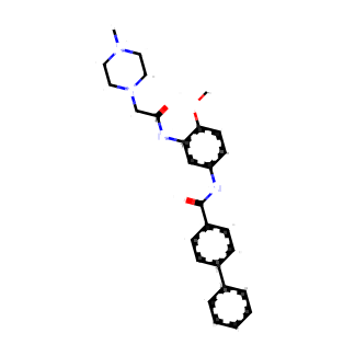 COc1ccc(NC(=O)c2ccc(-c3ccccc3)cc2)cc1NC(=O)CN1CCN(C)CC1